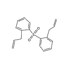 C=CCc1ccccc1S(=O)(=O)c1ccccc1CC=C